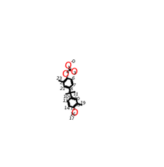 COC(=O)Oc1ccc(C(C)(C)c2ccc(OC)c(C)c2)cc1C